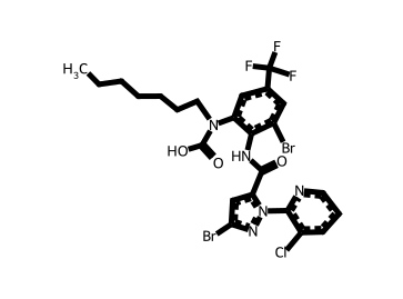 CCCCCCCN(C(=O)O)c1cc(C(F)(F)F)cc(Br)c1NC(=O)c1cc(Br)nn1-c1ncccc1Cl